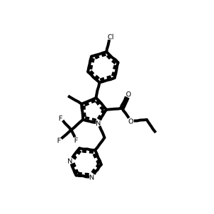 CCOC(=O)c1c(-c2ccc(Cl)cc2)c(C)c(C(F)(F)F)n1Cc1cncnc1